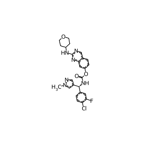 Cn1cc([C@@H](NC(=O)Oc2ccc3cnc(NC4CCOCC4)nc3c2)c2ccc(Cl)c(F)c2)cn1